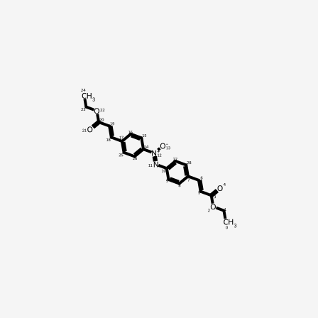 CCOC(=O)C=Cc1ccc(N=[N+]([O-])c2ccc(C=CC(=O)OCC)cc2)cc1